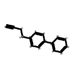 C#CCOc1ccc(-c2ccccc2)cc1